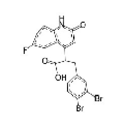 O=C(O)C(Cc1ccc(Br)c(Br)c1)c1cc(=O)[nH]c2ccc(F)cc12